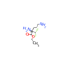 CCOC(=O)[C@](N)(CCCN)C(F)F